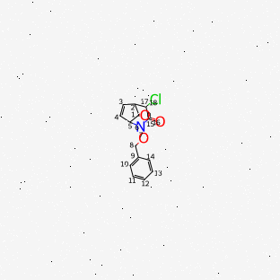 O=C1C2C=CC1N(OCc1ccccc1)C(=O)C2Cl